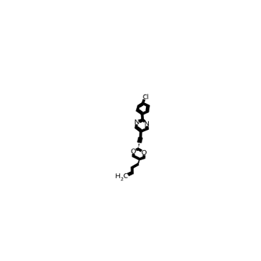 C=CCC[C@H]1CO[C@H](C#Cc2cnc(-c3ccc(Cl)cc3)nc2)OC1